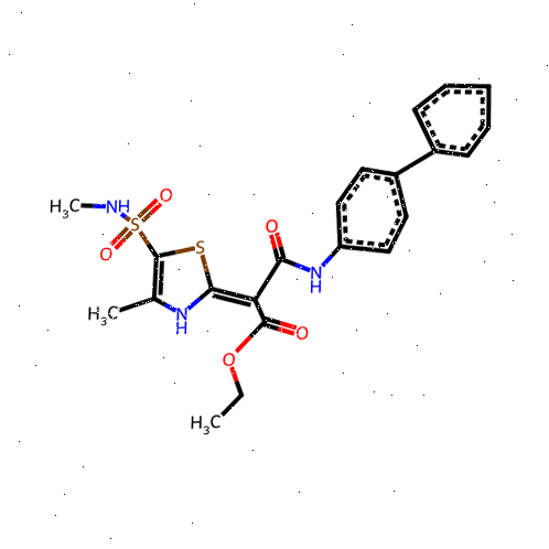 CCOC(=O)/C(C(=O)Nc1ccc(-c2ccccc2)cc1)=C1\NC(C)=C(S(=O)(=O)NC)S1